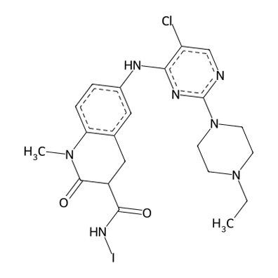 CCN1CCN(c2ncc(Cl)c(Nc3ccc4c(c3)CC(C(=O)NI)C(=O)N4C)n2)CC1